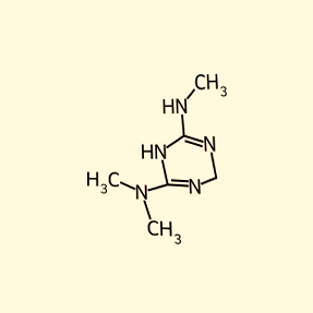 CNC1=NCN=C(N(C)C)N1